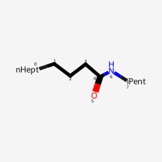 [CH2]CCCCCCCCCC(=O)NC(C)CCC